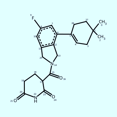 CC1(C)CC=C(c2cc(F)cc3c2CN(C(=O)C2CCC(=O)NC2=O)C3)CC1